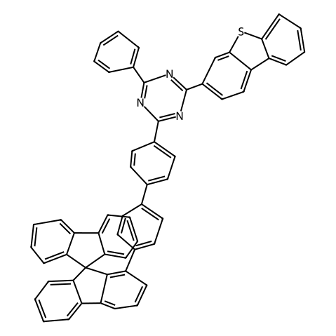 c1ccc(-c2nc(-c3ccc(-c4ccc(-c5cccc6c5C5(c7ccccc7-c7ccccc75)c5ccccc5-6)cc4)cc3)nc(-c3ccc4c(c3)sc3ccccc34)n2)cc1